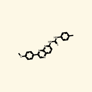 COc1ccc(-c2cnc3ccc(NC(=S)Nc4ccc(C)cc4)nc3n2)cc1